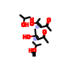 CC(=O)/C=C(\C)O.CC(=O)/C=C(\C)O.CC(C)O.CC(C)O.[Ti]